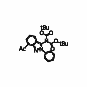 CC(=O)c1cccc2c(N(C(=O)OC(C)(C)C)C(=O)OC(C)(C)C)n(-c3ccccc3)nc12